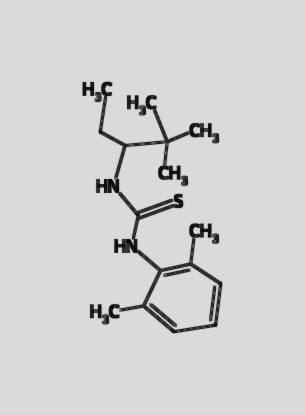 CCC(NC(=S)Nc1c(C)cccc1C)C(C)(C)C